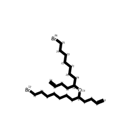 C=CCCC(CCCCCCCBr)OC(CCC=C)CCCCCCCBr